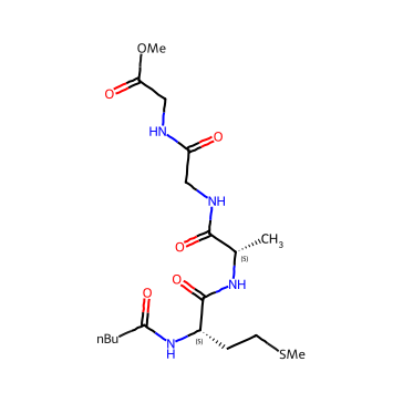 CCCCC(=O)N[C@@H](CCSC)C(=O)N[C@@H](C)C(=O)NCC(=O)NCC(=O)OC